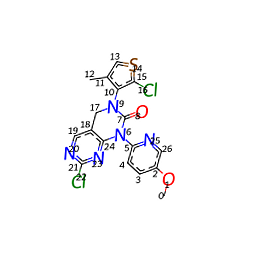 COc1ccc(N2C(=O)N(c3c(C)csc3Cl)Cc3cnc(Cl)nc32)nc1